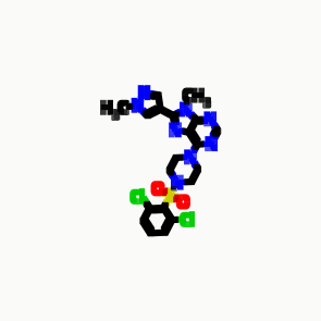 Cn1cc(-c2nc3c(N4CCN(S(=O)(=O)c5c(Cl)cccc5Cl)CC4)ncnc3n2C)cn1